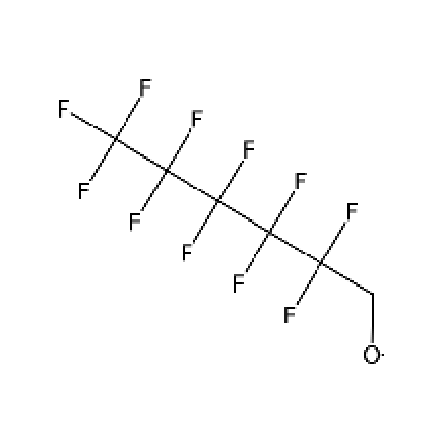 [O]CC(F)(F)C(F)(F)C(F)(F)C(F)(F)C(F)(F)F